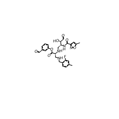 Cc1ccc(CNC[C@H](NC[C@H](NC(=O)c2cc(C)on2)[C@@H](O)C=O)C(=O)Oc2cccc(C=O)c2)c(F)c1